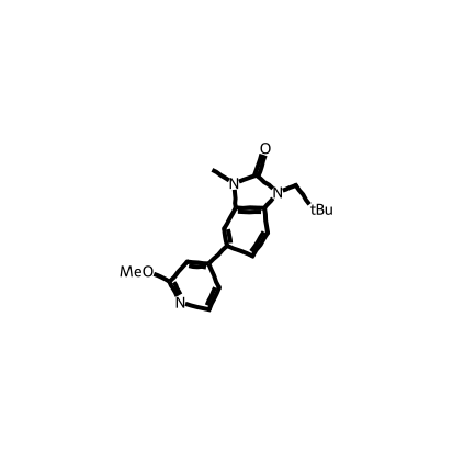 COc1cc(-c2ccc3c(c2)n(C)c(=O)n3CC(C)(C)C)ccn1